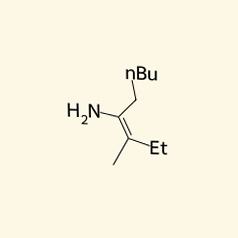 CCCCC/C(N)=C(/C)CC